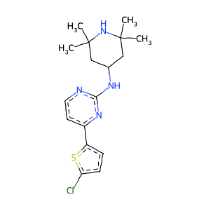 CC1(C)CC(Nc2nccc(-c3ccc(Cl)s3)n2)CC(C)(C)N1